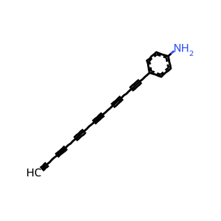 C#CC#CC#CC#CC#CC#Cc1ccc(N)cc1